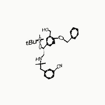 CC(C)(Cc1cccc(C#N)c1)NC[C@H](O[Si](C)(C)C(C)(C)C)c1ccc(OCc2ccccc2)c(CO)c1